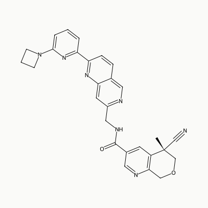 C[C@@]1(C#N)COCc2ncc(C(=O)NCc3cc4nc(-c5cccc(N6CCC6)n5)ccc4cn3)cc21